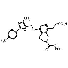 CCCOC(=O)N1CCc2c(OCc3oc(-c4ccc(C(F)(F)F)cc4)nc3C)ccc(CCC(=O)O)c2C1